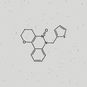 O=[n+]1c2c(c3ccccc3n1Cc1cccs1)OCCC2